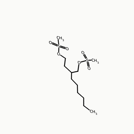 CCCCCCC(CCOS(C)(=O)=O)COS(C)(=O)=O